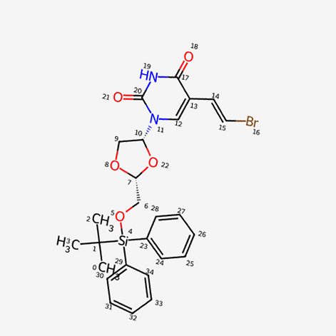 CC(C)(C)[Si](OC[C@@H]1OC[C@H](n2cc(C=CBr)c(=O)[nH]c2=O)O1)(c1ccccc1)c1ccccc1